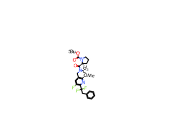 COc1nc(C(F)(F)Cc2ccccc2)c(F)cc1CN(C)C(=O)[C@@H]1CCCN1C(=O)OC(C)(C)C